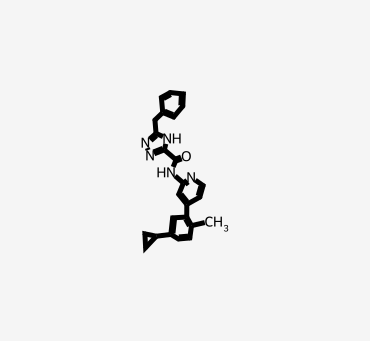 Cc1ccc(C2CC2)cc1-c1ccnc(NC(=O)c2nnc(Cc3ccccc3)[nH]2)c1